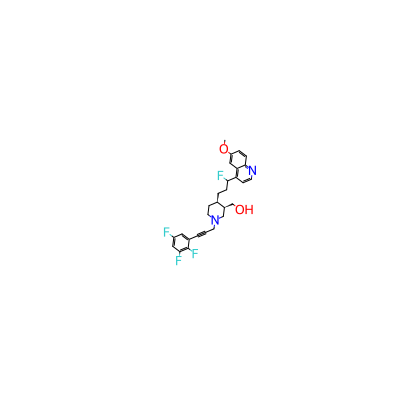 COc1ccc2nccc(C(F)CC[C@@H]3CCN(CC#Cc4cc(F)cc(F)c4F)C[C@@H]3CO)c2c1